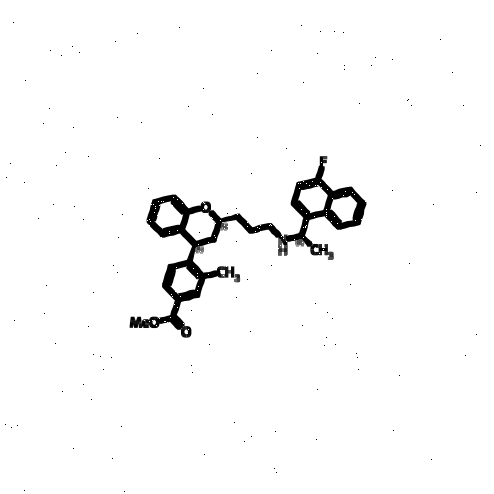 COC(=O)c1ccc([C@@H]2C[C@H](CCCN[C@H](C)c3ccc(F)c4ccccc34)Oc3ccccc32)c(C)c1